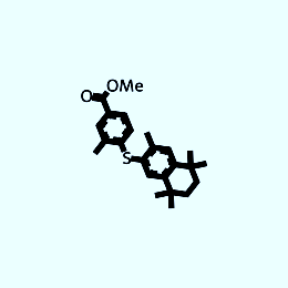 COC(=O)c1ccc(Sc2cc3c(cc2C)C(C)(C)CCC3(C)C)c(C)c1